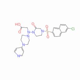 O=C(O)CN(N1CCN(c2ccncc2)CC1)N1CCN(S(=O)(=O)c2ccc3cc(Cl)ccc3c2)CC1=O